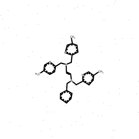 Cc1ccc(CN(C=CN(Cc2ccc(C)cn2)Cc2ccc(C)cn2)Cc2ccccc2)nc1